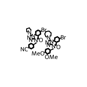 COc1ccc(Cn2c(=O)c3cc(Br)ccc3n3c(N4CCCCCC4)nnc23)cc1OC.N#Cc1ccc(Cn2c(=O)c3cc(Br)ccc3n3c(N4CCCC4)nnc23)cc1